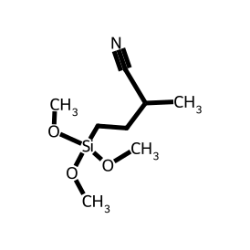 CO[Si](CCC(C)C#N)(OC)OC